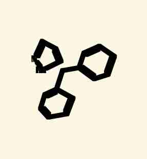 c1ccc(Cc2ccccc2)cc1.c1cn[nH]c1